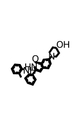 Cc1ccccc1Nc1ccccc1-c1cc2ccc(N3CCC(O)CC3)cc2c(=O)[nH]1